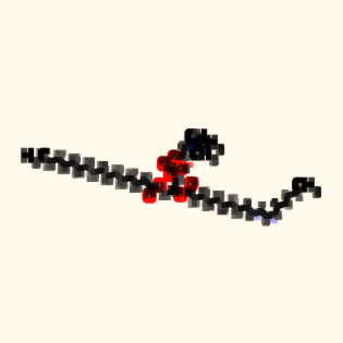 CCCCC/C=C\C=C\CCCCCCCCC(=O)O[C@H](COC(=O)CCCCCCCCCCCCCCC)COP(=O)([O-])OCC[N+](C)(C)C